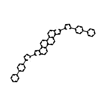 c1ccc(-c2ccc(-c3ccc(-c4cc5c(ccc6c5ccc5c7ccc8sc(-c9ccc(-c%10ccc(-c%11ccccc%11)cc%10)s9)cc8c7ccc65)s4)s3)cc2)cc1